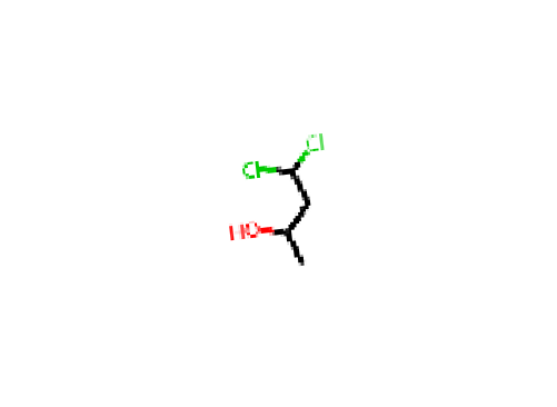 CC(O)CC(Cl)Cl